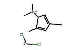 CC1=CC([SiH](C)C)C(C)=C1.[Cl][Zr][Cl]